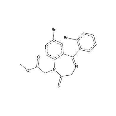 COC(=O)CN1C(=S)CN=C(c2ccccc2Br)c2cc(Br)ccc21